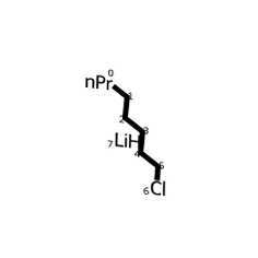 CCCCCCCCCl.[LiH]